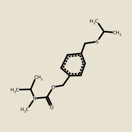 CC(C)SCc1ccc(COC(=O)N(C)C(C)C)cc1